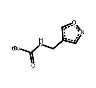 CC(C)(C)C(=O)NCc1cnoc1